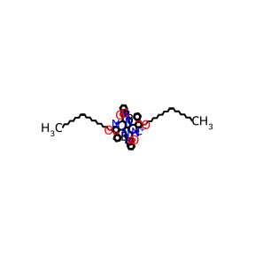 [C-]#[N+]/C(c1nc2ccccc2o1)=c1\c2c(-c3ccc(OCCCCCCCC/C=C\CCCCCCCC)cc3)n(B(c3ccccc3)c3ccccc3)/c(=C(/C#N)c3nc4ccccc4o3)c2c(-c2ccc(OCCCCCCCC/C=C\CCCCCCCC)cc2)n1B(c1ccccc1)c1ccccc1